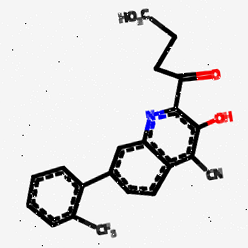 N#Cc1c(O)c(C(=O)CCC(=O)O)nc2cc(-c3ccccc3C(F)(F)F)ccc12